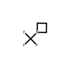 FC(F)(F)N1CCC1